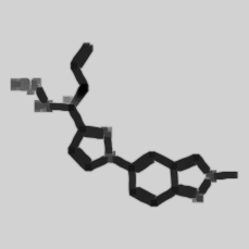 C=CC[C@H](NC(=O)O)c1ccn(-c2ccc3nn(C)cc3c2)n1